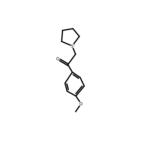 COc1ccc(C(=O)C[S+]2CCCC2)cc1